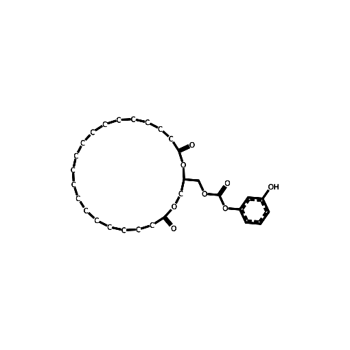 O=C1CCCCCCCCCCCCCCCCCCC(=O)OC(COC(=O)Oc2cccc(O)c2)CO1